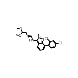 COC(C/N=C/Nc1c2cccc(-c3ccc(Cl)cc3Cl)c2nn1C)OC